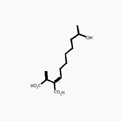 C=C(C(=O)O)/C(=C\CCCCCC(C)O)C(=O)O